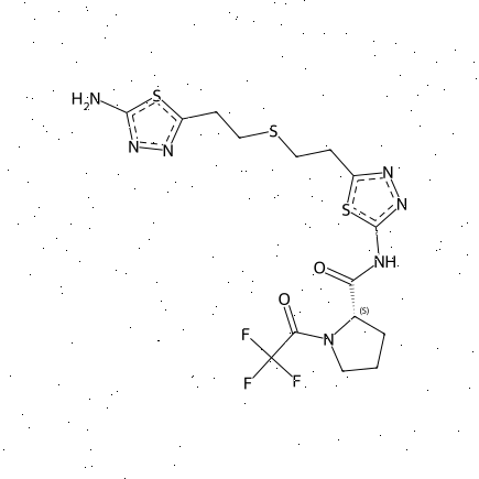 Nc1nnc(CCSCCc2nnc(NC(=O)[C@@H]3CCCN3C(=O)C(F)(F)F)s2)s1